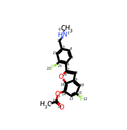 CNCc1ccc(-c2cc3cc(F)cc(OC(C)=O)c3o2)c(F)c1